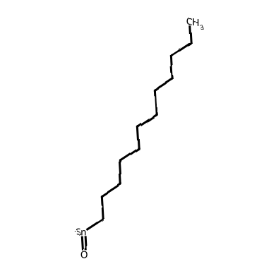 CCCCCCCCCCC[CH2][Sn]=[O]